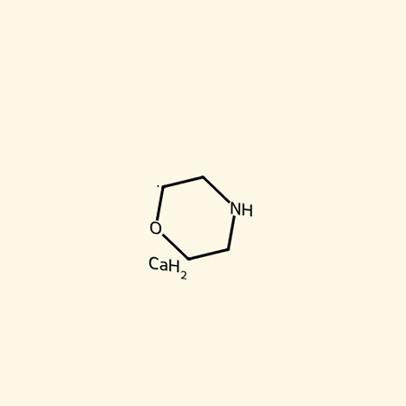 [CH]1CNCCO1.[CaH2]